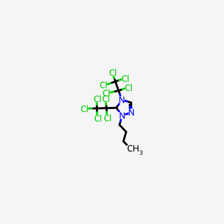 CCCCN1N=CN(C(Cl)(Cl)C(Cl)(Cl)Cl)C1C(Cl)(Cl)C(Cl)(Cl)Cl